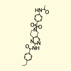 CCc1ccc(C(=O)Nc2ncc3c(n2)CCN(S(=O)(=O)c2ccc(NC(C)=O)cc2)C3)cc1